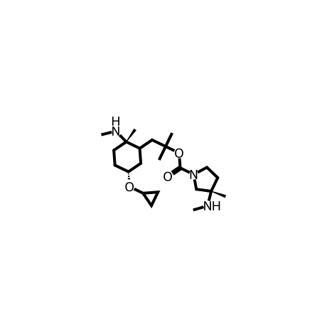 CN[C@@]1(C)CCN(C(=O)OC(C)(C)CC2C[C@H](OC3CC3)CC[C@]2(C)NC)C1